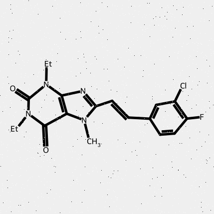 CCn1c(=O)c2c(nc(C=Cc3ccc(F)c(Cl)c3)n2C)n(CC)c1=O